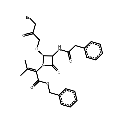 CC(C)=C(C(=O)OCc1ccccc1)N1C(=O)C(NC(=O)Cc2ccccc2)[C@@H]1OCC(=O)CBr